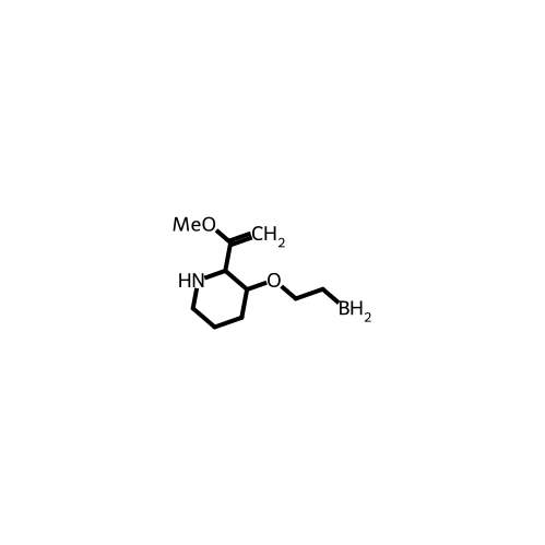 BCCOC1CCCNC1C(=C)OC